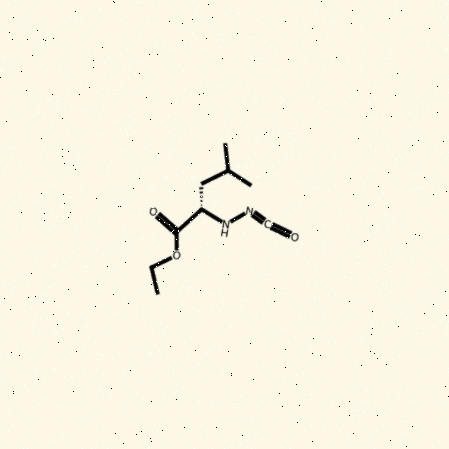 CCOC(=O)[C@H](CC(C)C)NN=C=O